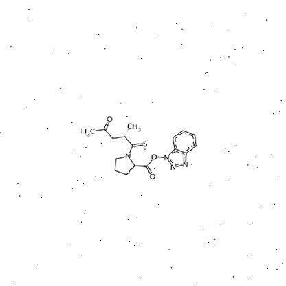 CC(=O)C[C@H](C)C(=S)N1CCC[C@@H]1C(=O)On1nnc2ccccc21